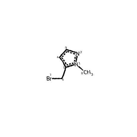 Cn1nccc1CBr